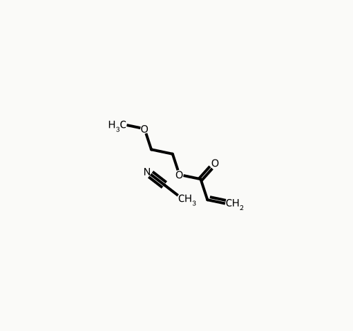 C=CC(=O)OCCOC.CC#N